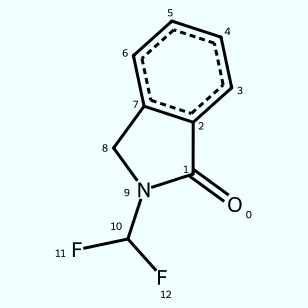 O=C1c2ccccc2CN1C(F)F